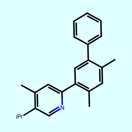 Cc1cc(C)c(-c2cc(C)c(C(C)C)cn2)cc1-c1ccccc1